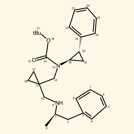 C[C@H](Cc1ccccc1)NCC1(CN(C(=O)OC(C)(C)C)[C@@H]2C[C@H]2c2ccccc2)CC1